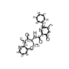 Cc1cc(=O)c(C(=O)N[C@@H]2C(=O)N(C)c3ncccc3O[C@@H]2C)nn1-c1ccccc1